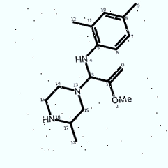 C=C(OC)C(Nc1ccc(C)cc1C)N1CCNC(C)C1